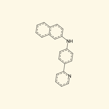 c1ccc(-c2ccc(Nc3ccc4ccccc4c3)cc2)nc1